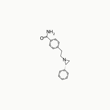 NC(=O)c1ccc(CCN2C[C@@H]2c2ccccc2)cc1